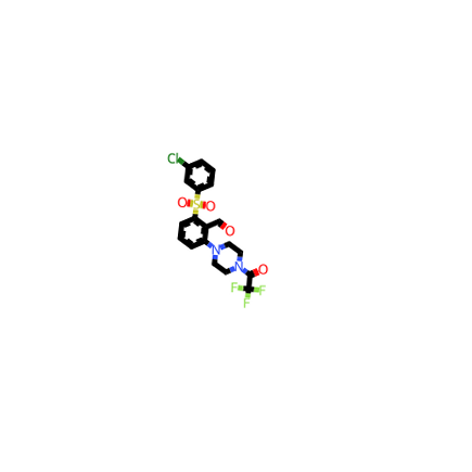 O=Cc1c(N2CCN(C(=O)C(F)(F)F)CC2)cccc1S(=O)(=O)c1cccc(Cl)c1